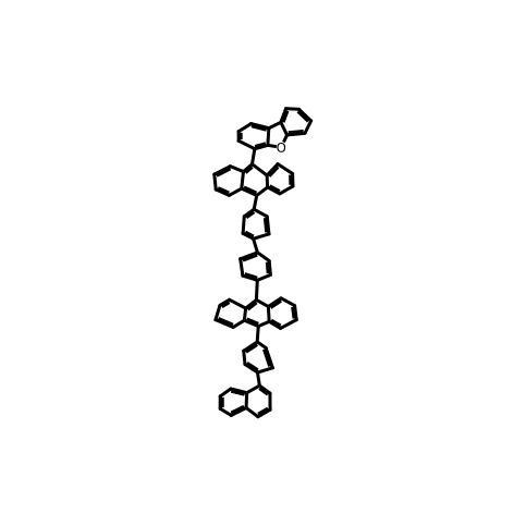 c1ccc2c(-c3ccc(-c4c5ccccc5c(-c5ccc(-c6ccc(-c7c8ccccc8c(-c8cccc9c8oc8ccccc89)c8ccccc78)cc6)cc5)c5ccccc45)cc3)cccc2c1